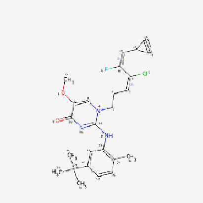 COc1cn(CC/C=C(Cl)\C(F)=C/C2C#C2)c(Nc2cc(C(C)(C)C)ccc2C)nc1=O